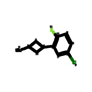 CC(C)(C)C1CC(c2cc(Cl)ccc2F)C1